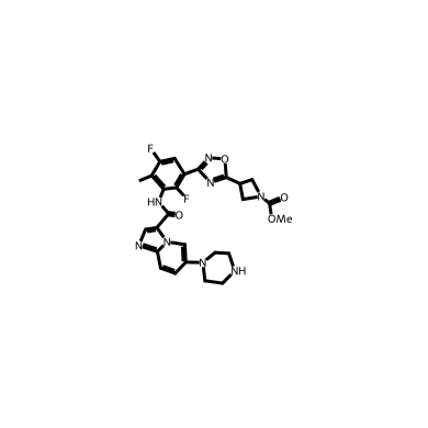 COC(=O)N1CC(c2nc(-c3cc(F)c(C)c(NC(=O)c4cnc5ccc(N6CCNCC6)cn45)c3F)no2)C1